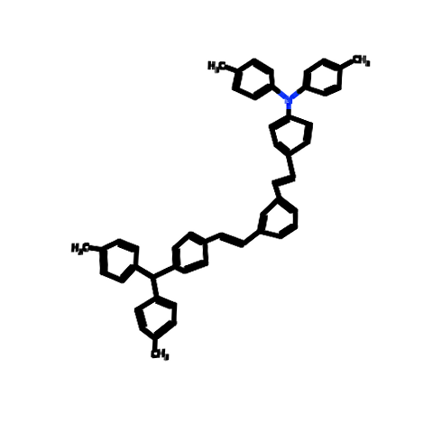 Cc1ccc(C(c2ccc(C)cc2)c2ccc(C=Cc3cccc(C=Cc4ccc(N(c5ccc(C)cc5)c5ccc(C)cc5)cc4)c3)cc2)cc1